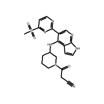 CS(=O)(=O)c1ccnc(-c2cnc3[nH]ccc3c2NC2CCCN(C(=O)CC#N)C2)n1